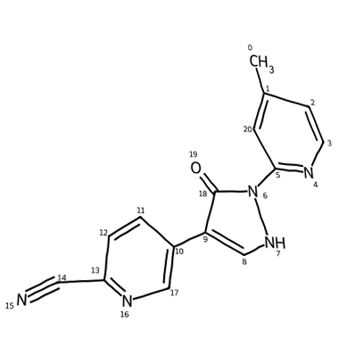 Cc1ccnc(-n2[nH]cc(-c3ccc(C#N)nc3)c2=O)c1